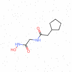 O=C([CH]NC(=O)CC1CCCC1)NO